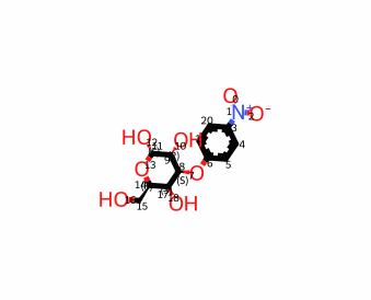 O=[N+]([O-])c1ccc(O[C@@H]2[C@@H](O)[C@@H](O)O[C@H](CO)[C@@H]2O)cc1